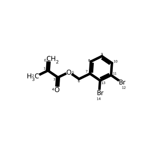 C=C(C)C(=O)OCc1cccc(Br)c1Br